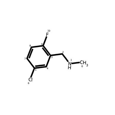 CNCc1cc(Cl)ccc1F